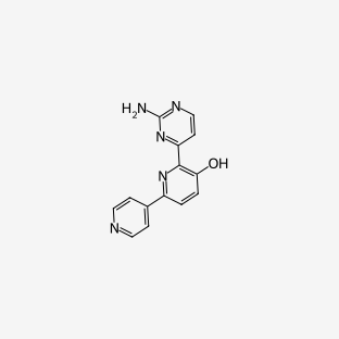 Nc1nccc(-c2nc(-c3ccncc3)ccc2O)n1